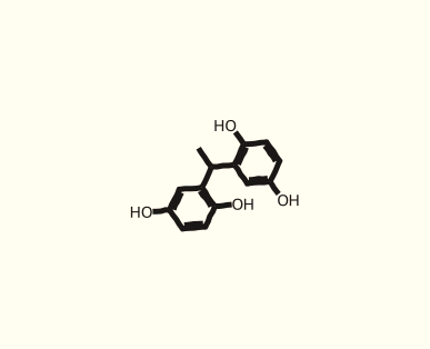 CC(c1cc(O)ccc1O)c1cc(O)ccc1O